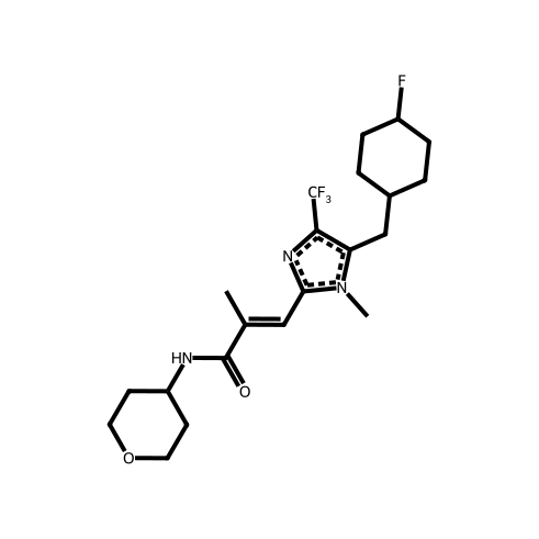 C/C(=C\c1nc(C(F)(F)F)c(CC2CCC(F)CC2)n1C)C(=O)NC1CCOCC1